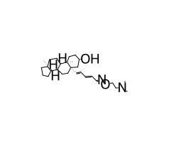 CN(C)CCO/N=C/C=C/C=C/[C@]12CC[C@H]3[C@@H]4CCC[C@@]4(C)CC[C@@H]3[C@@]1(C)CC[C@H](O)C2